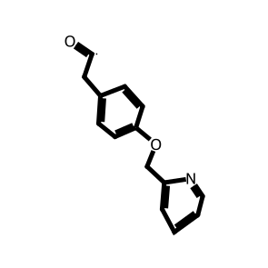 O=[C]Cc1ccc(OCc2ccccn2)cc1